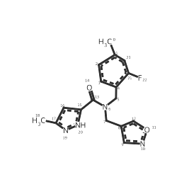 Cc1ccc(CN(Cc2cnoc2)C(=O)c2cc(C)n[nH]2)c(F)c1